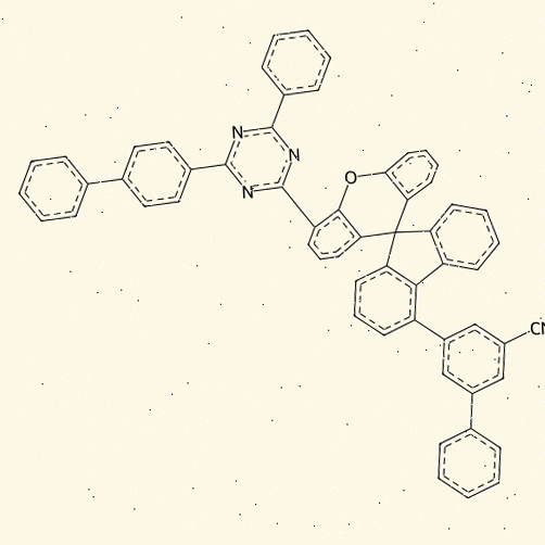 N#Cc1cc(-c2ccccc2)cc(-c2cccc3c2-c2ccccc2C32c3ccccc3Oc3c(-c4nc(-c5ccccc5)nc(-c5ccc(-c6ccccc6)cc5)n4)cccc32)c1